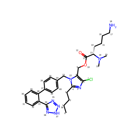 CCCCc1nc(Cl)c(COC(=O)[C@H](CCCCN)N(C)C)n1Cc1ccc(-c2ccccc2-c2nn[nH]n2)cc1